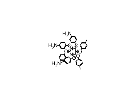 Cc1ccc(ON2P(Oc3ccc(N)cc3)N(Oc3ccc(N)cc3)P(Oc3ccc(N)cc3)N=P2(Oc2ccc(C)cc2)Oc2ccc(C)cc2)cc1